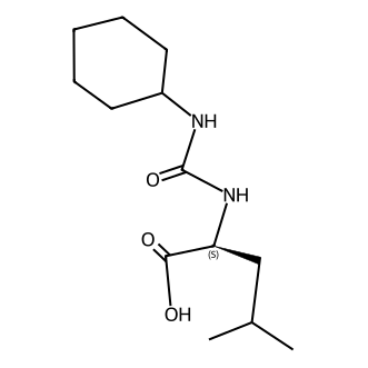 CC(C)C[C@H](NC(=O)NC1CCCCC1)C(=O)O